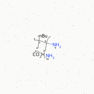 CC(=O)O.CCCCC(C)(C)C(C)(C)N.N